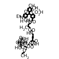 C=CCOC[C@@H](COP(=O)(O)OP(=O)(O)OP(=O)(O)O)O[C@H](CC)n1cc(C#CCNC(=O)OCC(=C)CCNC(=O)c2ccc(C(=O)O)c(C3=c4cc(C)c(=C)cc4Oc4cc(NCC)c(C)cc43)c2)c(=O)[nH]c1=O